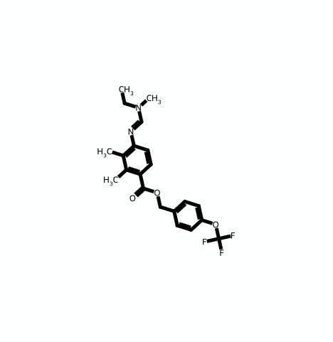 CCN(C)/C=N/c1ccc(C(=O)OCc2ccc(OC(F)(F)F)cc2)c(C)c1C